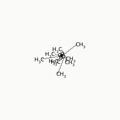 CCCCCCCCCCCC(CCCC)(CCCC)OP(=O)(OC(CCCC)(CCCC)CCCCCCCCCCC)OC(CCCC)(CCCC)CCCCCCCCCCC